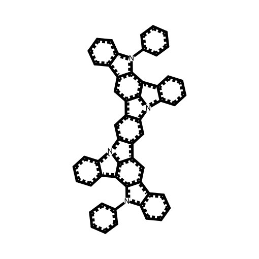 c1ccc(-n2c3ccccc3c3cc4c5cc6c(cc5n5c7ccccc7c(c32)c45)c2cc3c4ccccc4n(-c4ccccc4)c3c3c4ccccc4n6c23)cc1